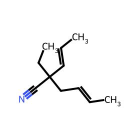 CC=CCC(C#N)(C=CC)CC